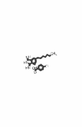 CCCCCCCc1ccc2c(c1)C(=N)NC2=N.O=C(O)c1ccc(Cl)cc1